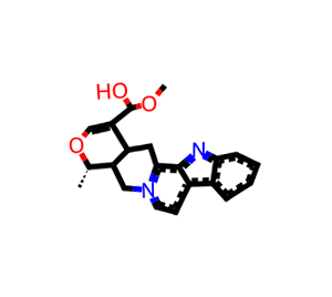 COC(O)C1=CO[C@@H](C)C2Cn3ccc4c5ccccc5nc-4c3CC12